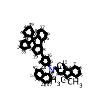 CC1(C)c2ccccc2-c2ccc(N(c3ccc(-c4ccc5c(c4)-c4ccccc4C5(c4ccccc4)c4ccccc4)cc3)c3cccc4ccccc34)cc21